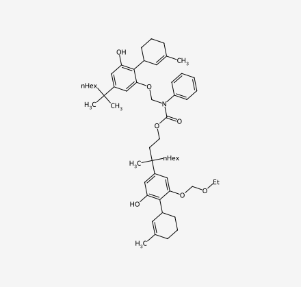 CCCCCCC(C)(C)c1cc(O)c(C2C=C(C)CCC2)c(OCN(C(=O)OCCC(C)(CCCCCC)c2cc(O)c(C3C=C(C)CCC3)c(OCOCC)c2)c2ccccc2)c1